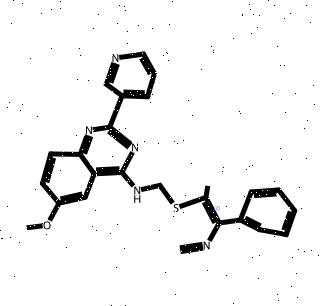 C=N/C(=C(/C)SCNc1nc(-c2cccnc2)nc2ccc(OC)cc12)c1ccccc1